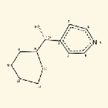 C[C@H](c1ccncc1)C1CCCCC1